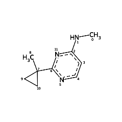 CNc1ccnc(C2(C)CC2)n1